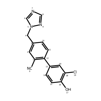 N#Cc1cc(Cn2cncn2)ccc1-c1ccc(O)c(Cl)c1